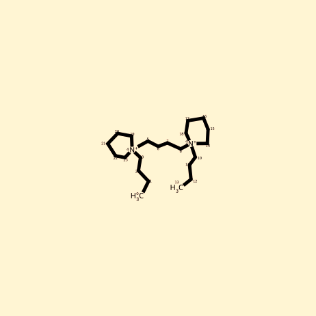 CCCC[N+]1(CCCC[N+]2(CCCC)CCCCC2)CCCCC1